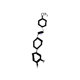 C[C@H]1CC[C@H](/C=C/[C@H]2CC[C@H](c3ccc(F)c(F)c3)CC2)CC1